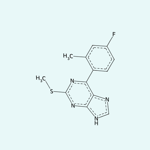 CSc1nc(-c2ccc(F)cc2C)c2nc[nH]c2n1